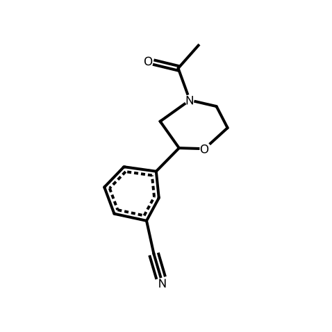 CC(=O)N1CCOC(c2cccc(C#N)c2)C1